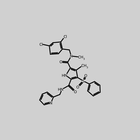 Cc1c(C(=O)N(C)Cc2ccc(Cl)cc2Cl)[nH]c(C(=O)NCc2ccccn2)c1S(=O)(=O)c1ccccc1